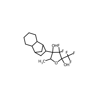 CC1OC(O)(C(F)(F)F)C(F)(F)C1(O)C1CC2CC1C1CCCCC21